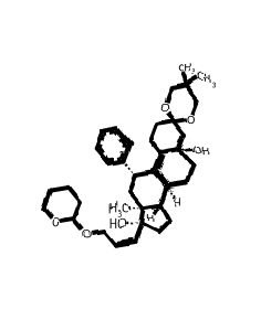 CC1(C)COC2(CCC3=C4[C@@H](CC[C@@]3(O)C2)[C@@H]2CC[C@@](O)(/C=C\COC3CCCCO3)[C@@]2(C)C[C@@H]4c2ccccc2)OC1